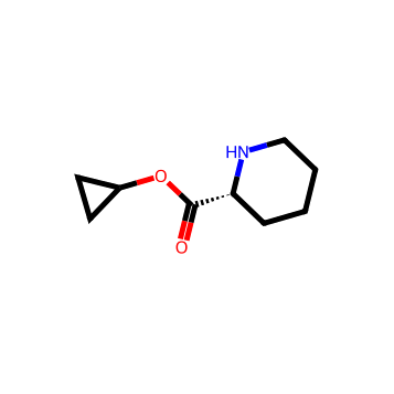 O=C(OC1CC1)[C@H]1CCCCN1